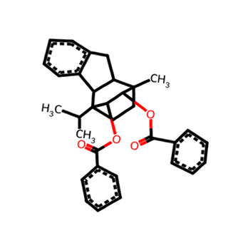 CC(C)C12CCC(C)(C3Cc4ccccc4C31)C(OC(=O)c1ccccc1)C2OC(=O)c1ccccc1